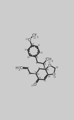 C=CC[C@H]1C[C@]2(C(C)Cc3ccc(OC(F)(F)F)cc3)OCOC2=CC1=O